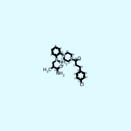 CC(CN(N)c1ccccc1N1CCN(C(=O)[CH]Cc2ccc(Cl)cc2)CC1)C(N)=O